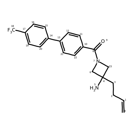 C=CCCC1(N)CN(C(=O)c2ccc(-c3ccc(C(F)(F)F)cc3)cc2)C1